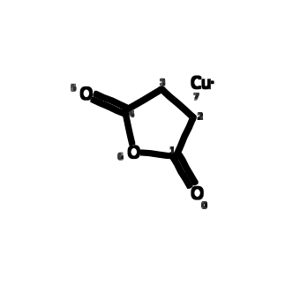 O=C1CCC(=O)O1.[Cu]